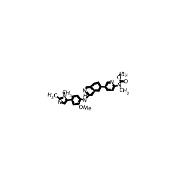 COc1cc(-c2cnc(C)n2C)ccc1Nc1cc2cc(-c3ccc(N(C)C(=O)OC(C)(C)C)nc3)ccc2cn1